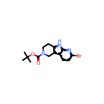 CC(C)(C)OC(=O)N1CCc2[nH]c3nc(Br)ccc3c2C1